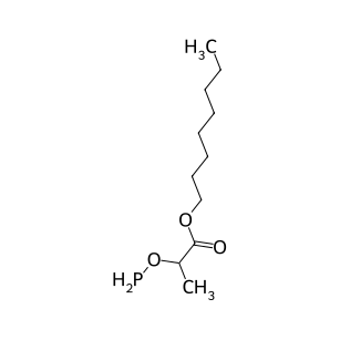 CCCCCCCCOC(=O)C(C)OP